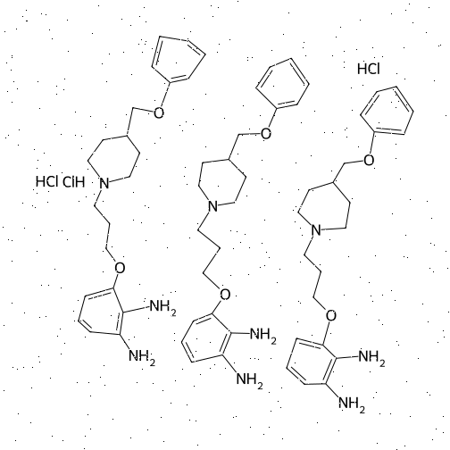 Cl.Cl.Cl.Nc1cccc(OCCCN2CCC(COc3ccccc3)CC2)c1N.Nc1cccc(OCCCN2CCC(COc3ccccc3)CC2)c1N.Nc1cccc(OCCCN2CCC(COc3ccccc3)CC2)c1N